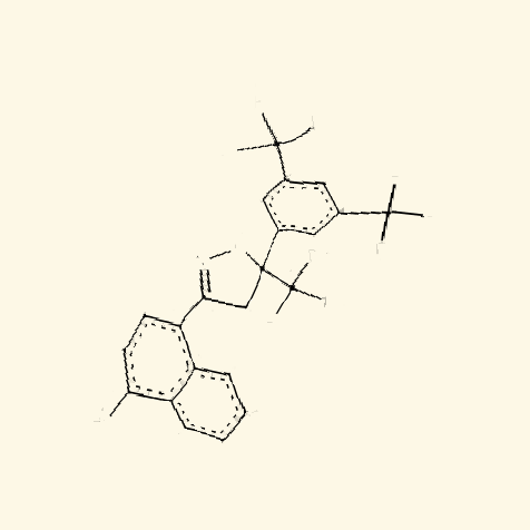 FC(F)(F)c1cc(C(F)(F)F)cc(C2(C(F)(F)F)CC(c3ccc(Br)c4ccccc34)=NO2)c1